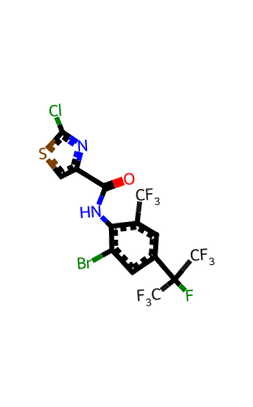 O=C(Nc1c(Br)cc(C(F)(C(F)(F)F)C(F)(F)F)cc1C(F)(F)F)c1csc(Cl)n1